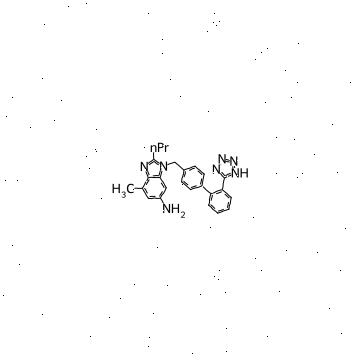 CCCc1nc2c(C)cc(N)cc2n1Cc1ccc(-c2ccccc2-c2nnn[nH]2)cc1